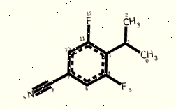 C[C](C)c1c(F)cc(C#N)cc1F